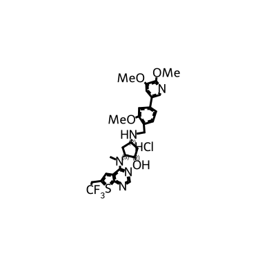 COc1cc(-c2cnc(OC)c(OC)c2)ccc1CN[C@H]1C[C@@H](O)[C@@H](N(C)c2ncnc3sc(CC(F)(F)F)cc23)C1.Cl